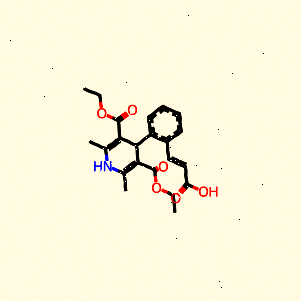 CCOC(=O)C1=C(C)NC(C)=C(C(=O)OCC)C1c1ccccc1C=CC(=O)O